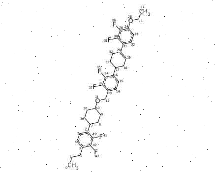 CCCc1ccc(C2CCC(OCc3ccc(C4CC=C(c5ccc(OCC)c(F)c5F)CC4)c(F)c3F)CC2)c(F)c1F